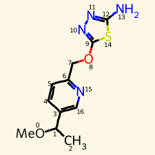 COC(C)c1ccc(COc2nnc(N)s2)nc1